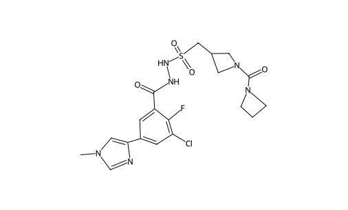 Cn1cnc(-c2cc(Cl)c(F)c(C(=O)NNS(=O)(=O)CC3CN(C(=O)N4CCC4)C3)c2)c1